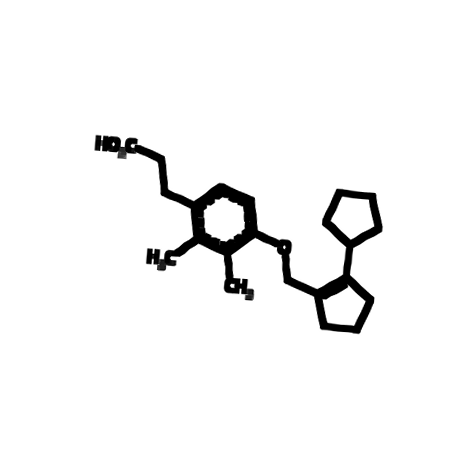 Cc1c(CCC(=O)O)ccc(OCC2=C(C3CCCC3)CCC2)c1C